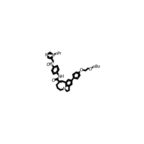 CCCCOCCOc1ccc(-c2cc3c4c(c2)CCN4CCC/C(C(=O)Nc2ccc([S+]([O-])Cc4cncn4CCC)cc2)=C\3)cc1